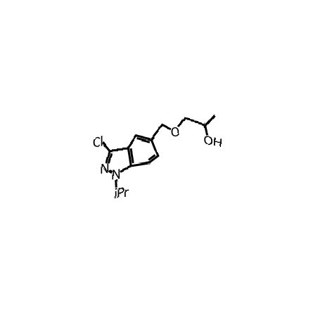 CC(O)COCc1ccc2c(c1)c(Cl)nn2C(C)C